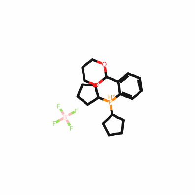 F[B-](F)(F)F.c1ccc([PH+](C2CCCC2)C2CCCC2)c(C2OCCCO2)c1